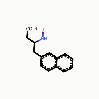 O=C(O)CC(Cc1ccc2ccccc2c1)NI